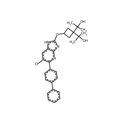 CC(C)(O)C1(C(C)(C)O)CC(Oc2nc3nc(-c4ccc(-c5ccccc5)cc4)c(Cl)cc3[nH]2)C1